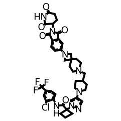 O=C1CCC(N2C(=O)c3ccc(N4CC5(CCN(CC6CCN(c7cnn(C8(C(=O)Nc9ccc(C(F)(F)F)cc9Cl)CCC8)c7)CC6)CC5)C4)cc3C2=O)C(=O)N1